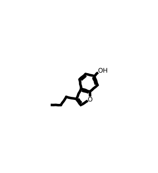 CCCc1coc2cc(O)ccc12